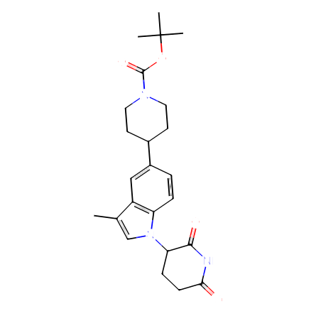 Cc1cn(C2CCC(=O)NC2=O)c2ccc(C3CCN(C(=O)OC(C)(C)C)CC3)cc12